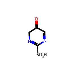 O=C1C=NC(S(=O)(=O)O)=NC1